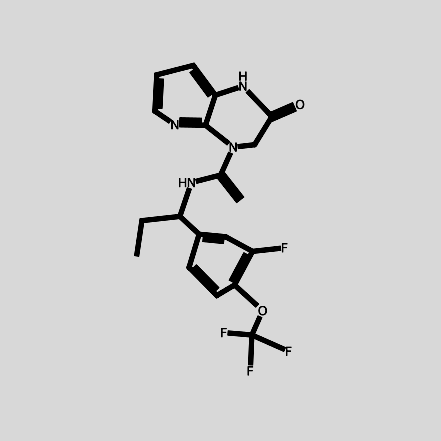 C=C(NC(CC)c1ccc(OC(F)(F)F)c(F)c1)N1CC(=O)Nc2cccnc21